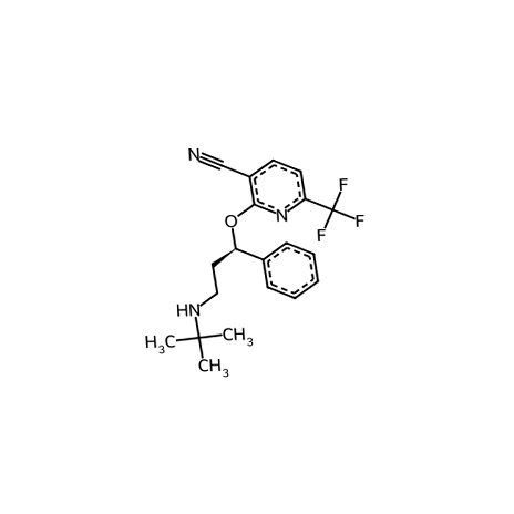 CC(C)(C)NCC[C@@H](Oc1nc(C(F)(F)F)ccc1C#N)c1ccccc1